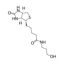 O=C(CCCC[C@@H]1SC[C@@H]2NC(=O)N[C@@H]21)NCCCO